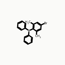 Cc1cc(Br)cc(C)c1B(c1ccccc1)c1ccccc1